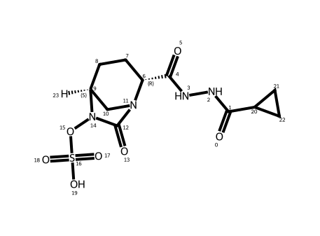 O=C(NNC(=O)[C@H]1CC[C@H]2CN1C(=O)N2OS(=O)(=O)O)C1CC1